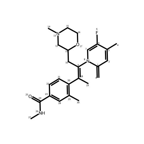 C=C1C=C(C)C(F)=CN1/C(CC1CN(C)CCO1)=C(\C)c1ccc(C(=O)NC)cc1C